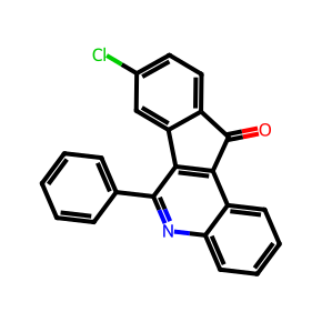 O=C1c2ccc(Cl)cc2-c2c(-c3ccccc3)nc3ccccc3c21